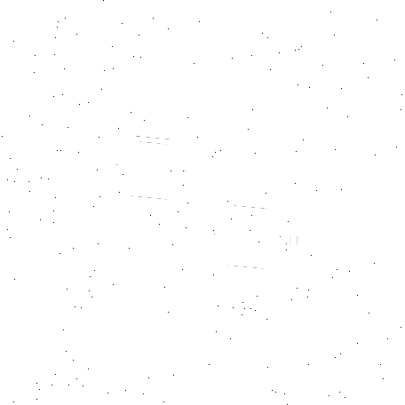 F[C@@H]1CNCC[C@@H]1Cc1ccccc1